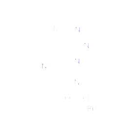 CC(CC#N)c1c(Br)ncnc1N1CCN(C(=O)OC(C)(C)C)CC1